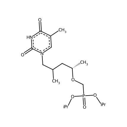 Cc1cn(CC(C)C[C@H](C)OCP(=O)(OC(C)C)OC(C)C)c(=O)[nH]c1=O